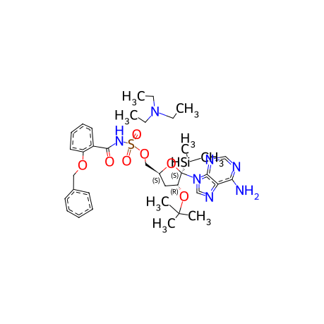 CCN(CC)CC.C[SiH](C)[C@@]1(n2cnc3c(N)ncnc32)O[C@H](COS(=O)(=O)NC(=O)c2ccccc2OCc2ccccc2)C[C@H]1OC(C)(C)C